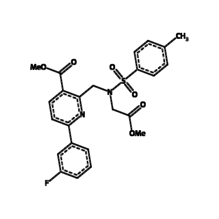 COC(=O)CN(Cc1nc(-c2cccc(F)c2)ccc1C(=O)OC)S(=O)(=O)c1ccc(C)cc1